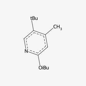 Cc1cc(OCC(C)C)ncc1C(C)(C)C